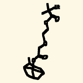 CCC(C)(C)C(=O)OCCOCC(=O)OC12CC3CC(CC(C3)C1C)C2